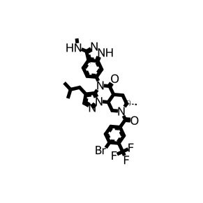 CNc1n[nH]c2cc(N3C(=O)C4C[C@H](C)N(C(=O)c5ccc(Br)c(C(F)(F)F)c5)CC4n4ncc(CC(C)C)c43)ccc12